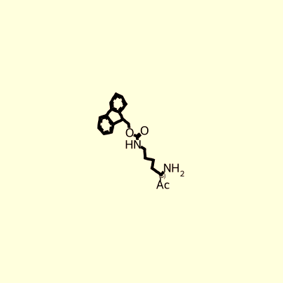 CC(=O)[C@@H](N)CCCCNC(=O)OCC1c2ccccc2-c2ccccc21